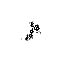 Cc1ccc2ccccc2c1CN(Cc1ccc(-c2cc(F)c(CO)c(S(=O)(=O)CC(=O)O)c2)cc1)Cc1ccc(C(F)(F)F)o1